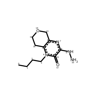 CCCCn1c2c(nc(NN)c1=O)COCC2